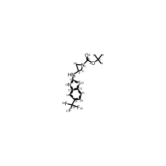 CC(C)(C)OC(=O)N1CC(Nc2nc3cc(C(F)(F)F)ccc3s2)C1